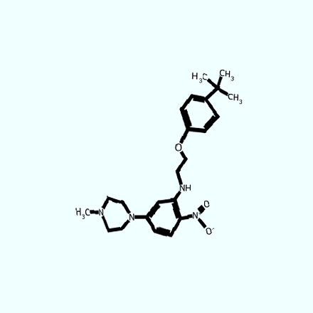 CN1CCN(c2ccc([N+](=O)[O-])c(NCCOc3ccc(C(C)(C)C)cc3)c2)CC1